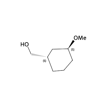 CO[C@H]1CCC[C@H](CO)C1